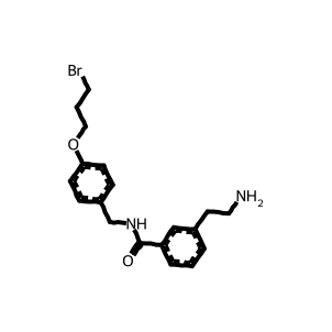 NCCc1cccc(C(=O)NCc2ccc(OCCCBr)cc2)c1